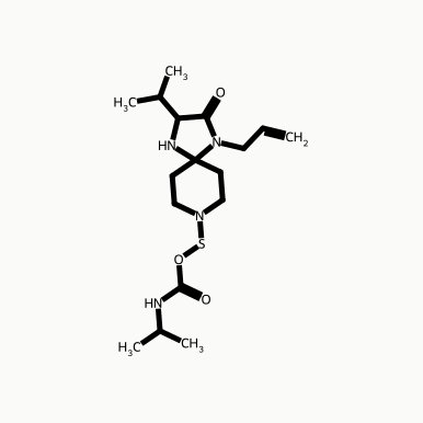 C=CCN1C(=O)C(C(C)C)NC12CCN(SOC(=O)NC(C)C)CC2